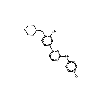 N#Cc1cc(-c2ccnc(Nc3cc[n+]([O-])cc3)n2)ccc1OC1CCOCC1